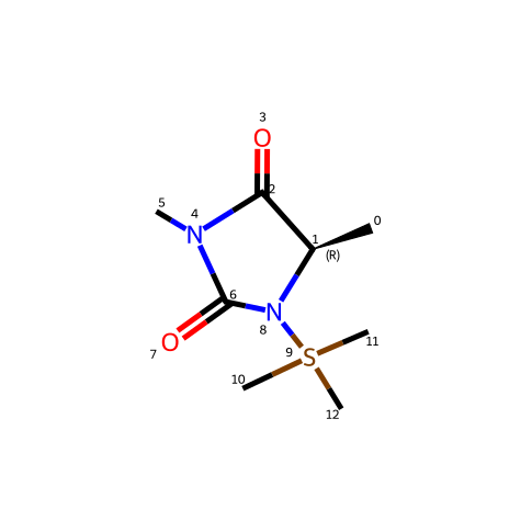 C[C@@H]1C(=O)N(C)C(=O)N1S(C)(C)C